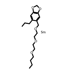 CCCCOCCOCCOCc1cc2c(cc1CCC)OCO2.[Sm]